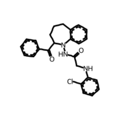 O=C(CNc1ccccc1Cl)NN1c2ccccc2CCCC1C(=O)c1ccccc1